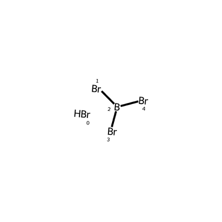 Br.BrB(Br)Br